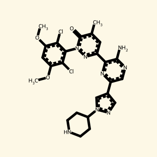 COc1cc(OC)c(Cl)c(-n2nc(-c3nc(-c4cnn(C5CCNCC5)c4)cnc3N)cc(C)c2=O)c1Cl